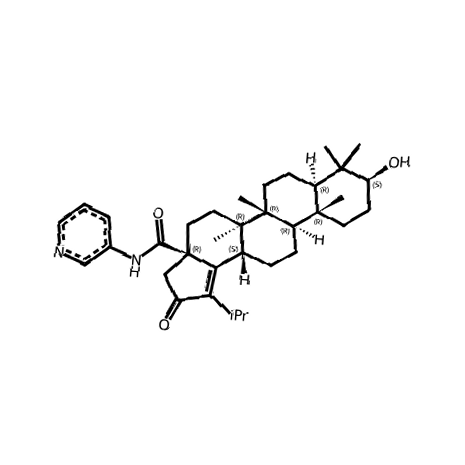 CC(C)C1=C2[C@H]3CC[C@@H]4[C@@]5(C)CC[C@H](O)C(C)(C)[C@@H]5CC[C@@]4(C)[C@]3(C)CC[C@@]2(C(=O)Nc2cccnc2)CC1=O